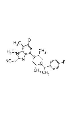 CC(c1ccc(F)cc1)N1C[C@H](C)N(c2cc(=O)n(C)c3c2nc(CC#N)n3C)C[C@H]1C